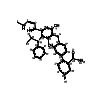 CN/C=C\C(=N)c1nc(O)c(Sc2ccc(-c3ccc(F)cc3C(N)=O)cc2)c(O)c1N(c1ccccc1)C(C)C